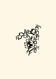 CCOc1cc(C(C(=O)NCc2ccccc2S(=O)(=O)CC)N(N)c2ccc3cnccc3c2)ccc1OC(C)C.O=C(O)C(F)(F)F